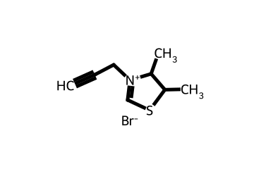 C#CC[N+]1=CSC(C)C1C.[Br-]